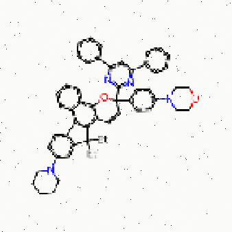 CCC1(CC)c2cc(N3CCCCC3)ccc2-c2c1c1c(c3ccccc23)OC(c2ccc(N3CCOCC3)cc2)(c2nc(-c3ccccc3)cc(-c3ccccc3)n2)C=C1